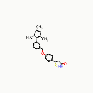 CC1=CC(C)=C(c2cccc(COc3ccc(C4CC(=O)NS4)cc3)c2)C(C)C1